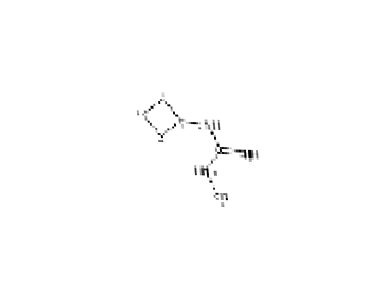 N#CNC(=N)NC1CCC1